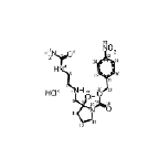 Cl.NC(=O)NCCNCC1(O)CCCN1C(=O)OCc1ccc([N+](=O)[O-])cc1